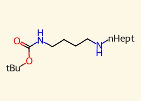 CCCCCCCNCCCCNC(=O)OC(C)(C)C